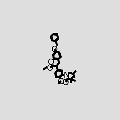 CCOC(=O)C(Cc1ccc(OCc2ccccc2)cc1)c1ccc(OC)c(N(CC(C)C)C(=O)C(C)(C)C)c1